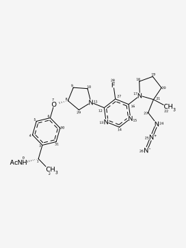 CC(=O)N[C@@H](C)c1ccc(O[C@@H]2CCN(c3ncnc(N4CCCC4(C)CN=[N+]=[N-])c3F)C2)cc1